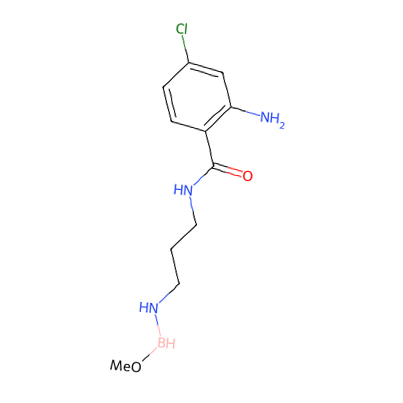 COBNCCCNC(=O)c1ccc(Cl)cc1N